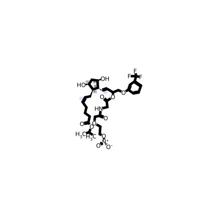 CC(C)OC(=O)CCC/C=C\C[C@@H]1[C@@H](/C=C/C(COc2cccc(C(F)(F)F)c2)OC(=O)CNC(=O)COCCO[N+](=O)[O-])[C@H](O)C[C@@H]1O